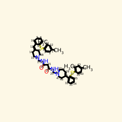 Cc1ccc(Sc2ccccc2C=C2CCN(CNC(=O)CC(=O)NCN3CCC=C(c4ccccc4Sc4ccc(C)cc4C)CC3)CC2)c(C)c1